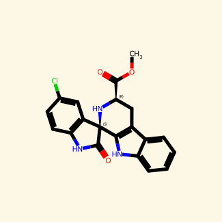 COC(=O)[C@H]1Cc2c([nH]c3ccccc23)[C@]2(N1)C(=O)Nc1ccc(Cl)cc12